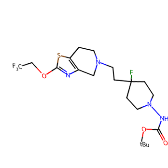 CC(C)(C)OC(=O)NN1CCC(F)(CCN2CCc3sc(OCC(F)(F)F)nc3C2)CC1